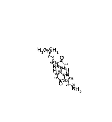 CN(C)CCc1c[nH]c2c1C(=O)C=CC2=C1C=CC(=O)c2c(CCN)c[nH]c21